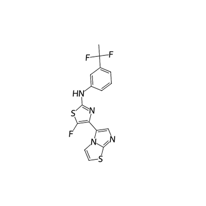 CC(F)(F)c1cccc(Nc2nc(-c3cnc4sccn34)c(F)s2)c1